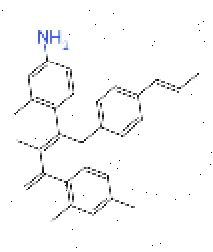 C=C(/C(C)=C(\Cc1ccc(/C=C/C)cc1)c1ccc(N)cc1C)c1ccc(C)cc1C